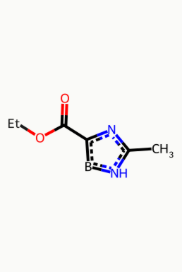 CCOC(=O)c1b[nH]c(C)n1